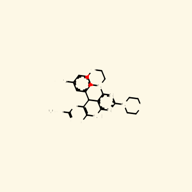 CCC1=C(OC(=O)OC)C(c2cccc([N+](=O)[O-])c2)c2c(nc(N3CCOCC3)nc2N2CCOCC2)N1